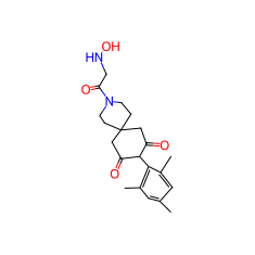 Cc1cc(C)c(C2C(=O)CC3(CCN(C(=O)CNO)CC3)CC2=O)c(C)c1